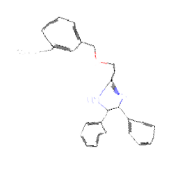 COc1cccc(COCC2=NC(c3ccccc3)C(c3ccccc3)N2)c1